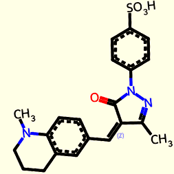 CC1=NN(c2ccc(S(=O)(=O)O)cc2)C(=O)/C1=C\c1ccc2c(c1)CCCN2C